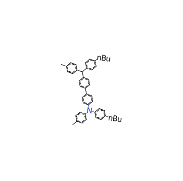 CCCCc1ccc(C(c2ccc(C)cc2)c2ccc(-c3ccc(N(c4ccc(C)cc4)c4ccc(CCCC)cc4)cc3)cc2)cc1